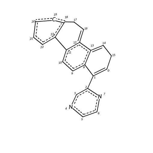 C1=C(c2cnccn2)c2ccc3c(c2=CC1)=CCc1ccccc1-3